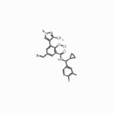 CCOc1c(C(=O)NC(c2ccc(F)c(C)c2)C2CC2)cc(CBr)cc1-c1cn(C)nc1C(F)(F)F